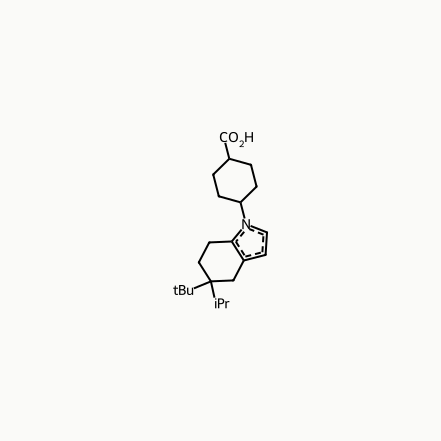 CC(C)C1(C(C)(C)C)CCc2c(ccn2C2CCC(C(=O)O)CC2)C1